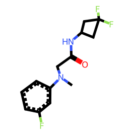 CN(CC(=O)NC1CC(F)(F)C1)c1cccc(F)c1